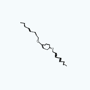 CCCC=CC=CCOC1CCC(OCC=CC=CCCC)CC1